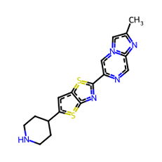 Cc1cn2cc(-c3nc4sc(C5CCNCC5)cc4s3)ncc2n1